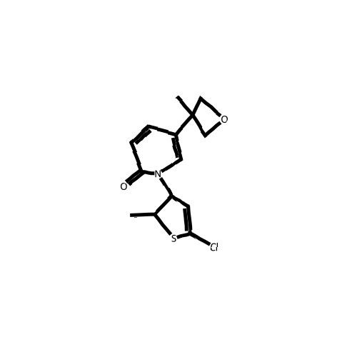 CC1SC(Cl)=CC1n1cc(C2(C)COC2)ccc1=O